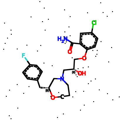 NC(=O)c1cc(Cl)ccc1OC[C@H](O)CN1CCCO[C@H](Cc2ccc(F)cc2)C1